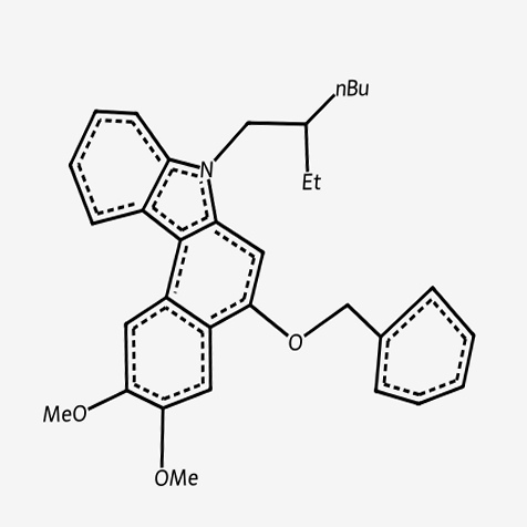 CCCCC(CC)Cn1c2ccccc2c2c3cc(OC)c(OC)cc3c(OCc3ccccc3)cc21